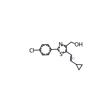 OCc1nc(-c2ccc(Cl)cc2)sc1/C=C/C1CC1